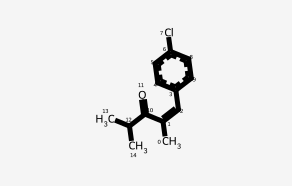 CC(=Cc1ccc(Cl)cc1)C(=O)C(C)C